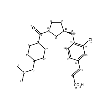 CN(C)CC1CCC(C(=O)N2CC[C@@H](Nc3ncc(C=CC(=O)O)cc3Cl)C2)CC1